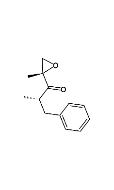 C[C@@H](Cc1ccccc1)C(=O)[C@]1(C)CO1